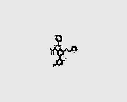 CNc1nc(-c2cccnc2)nc2c(OCc3ccco3)cc(-c3cc(F)ccc3F)cc12